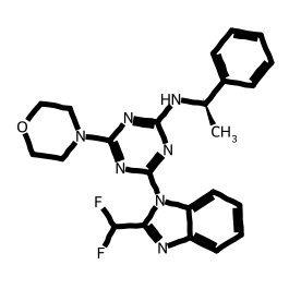 C[C@@H](Nc1nc(N2CCOCC2)nc(-n2c(C(F)F)nc3ccccc32)n1)c1ccccc1